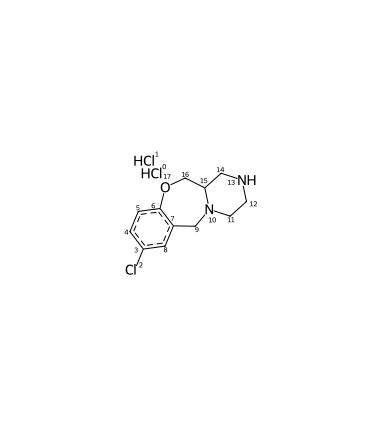 Cl.Cl.Clc1ccc2c(c1)CN1CCNCC1CO2